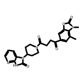 Cc1cc(C(=O)CCC(=O)N2CCC(n3c(=O)[nH]c4ncccc43)CC2)cc2oc(=O)n(C)c12